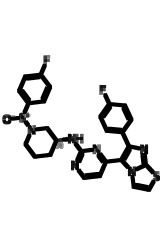 [O-][S+](c1ccc(F)cc1)N1CCC[C@H](Nc2nccc(-c3c(-c4ccc(F)cc4)nc4sccn34)n2)C1